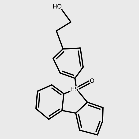 O=[SH]1(c2ccc(CCO)cc2)c2ccccc2-c2ccccc21